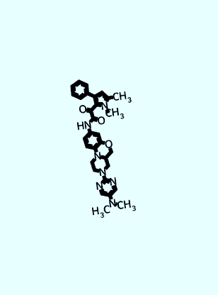 Cc1cc(-c2ccccc2)c(C(=O)C(=O)Nc2ccc3c(c2)OCC2CN(c4ncc(N(C)C)cn4)CCN32)n1C